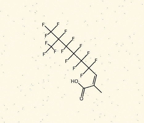 CC(=CC(F)(F)C(F)(F)C(F)(F)C(F)(F)C(F)(C(F)(F)F)C(F)(F)F)C(=O)O